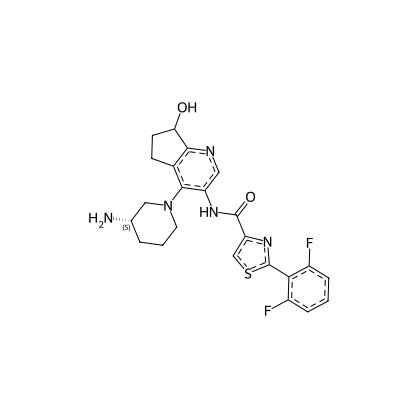 N[C@H]1CCCN(c2c(NC(=O)c3csc(-c4c(F)cccc4F)n3)cnc3c2CCC3O)C1